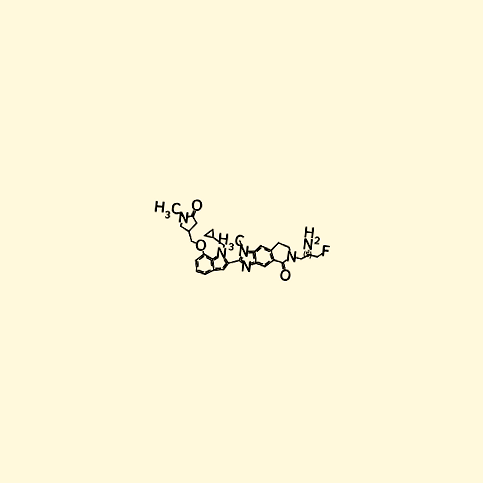 CN1CC(COc2cccc3cc(-c4nc5cc6c(cc5n4C)CCN(C[C@H](N)CF)C6=O)n(CC4CC4)c23)CC1=O